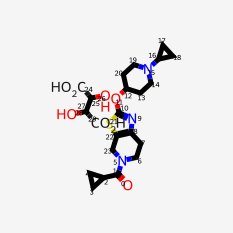 O=C(C1CC1)N1CCc2nc(OC3CCN(C4CC4)CC3)sc2C1.O=C(O)C(O)C(O)C(=O)O